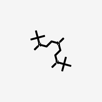 CN(CCN(C)C(C)(C)C)CCN(C)C(C)(C)C